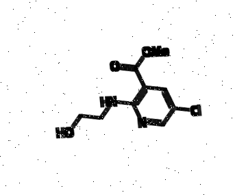 COC(=O)c1cc(Cl)cnc1NCCO